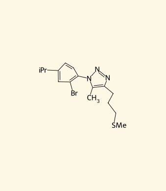 CSCCCc1nnn(-c2ccc(C(C)C)cc2Br)c1C